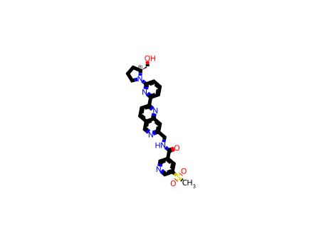 CS(=O)(=O)c1cncc(C(=O)NCc2cc3nc(-c4cccc(N5CCC[C@@H]5CO)n4)ccc3cn2)c1